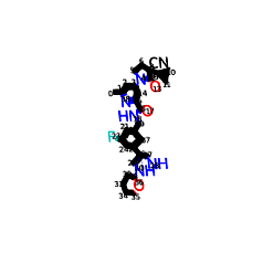 Cc1cc(N2CCC(C#N)(C3=CC3)C2=O)cc(C(=O)NCc2cc(F)cc(/C(C=N)=C/NC3CCCCO3)c2)n1